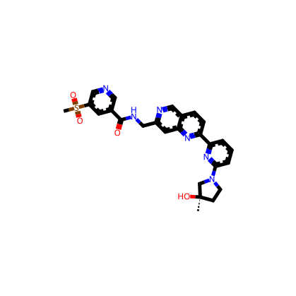 C[C@@]1(O)CCN(c2cccc(-c3ccc4cnc(CNC(=O)c5cncc(S(C)(=O)=O)c5)cc4n3)n2)C1